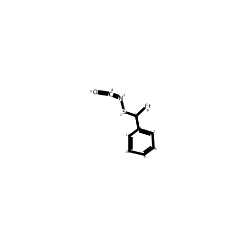 CCC(SN=C=O)c1ccccc1